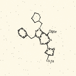 CCOC(=O)c1cnn(-c2nc(OC)c3c(n2)c(Cc2ccccc2)nn3CC2CCCCC2)c1